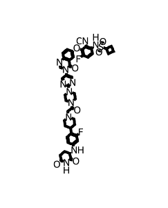 N#Cc1c(NS(=O)(=O)C2CCC2)ccc(F)c1Oc1ccc2ncn(-c3cnc(N4CCN(C(=O)CN5CCC(c6ccc(N[C@H]7CCC(=O)NC7=O)cc6F)CC5)CC4)nc3)c(=O)c2c1